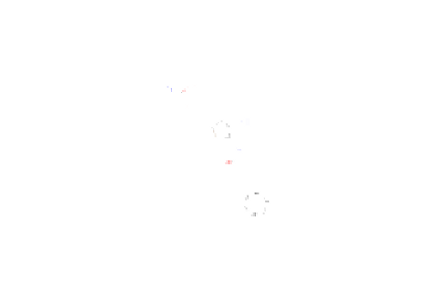 CCNC(=O)OC1CCc2c(sc(NC(=O)CCc3cccc(O)c3)c2N)C1